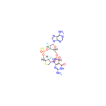 Nc1nc2c(c(=O)[nH]1)NNN2[C@@]12CS[C@H](COP(=O)(S)O[C@H]3[C@H](F)[C@H](n4cnc5c(N)ncnc54)O[C@@H]3COP(=O)(S)O1)[C@H]2F